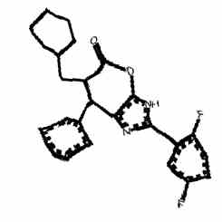 O=C1Oc2[nH]c(-c3cc(F)ccc3F)nc2C(c2ccccc2)C1CC1CCCCC1